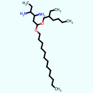 CCCCCCCCCCCCCOC(CC(N)C(N)CC)OCC(CC)CCCC